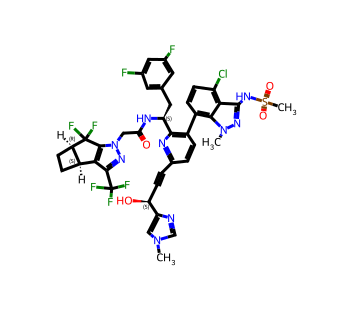 Cn1cnc([C@@H](O)C#Cc2ccc(-c3ccc(Cl)c4c(NS(C)(=O)=O)nn(C)c34)c([C@H](Cc3cc(F)cc(F)c3)NC(=O)Cn3nc(C(F)(F)F)c4c3C(F)(F)[C@@H]3CC[C@H]43)n2)c1